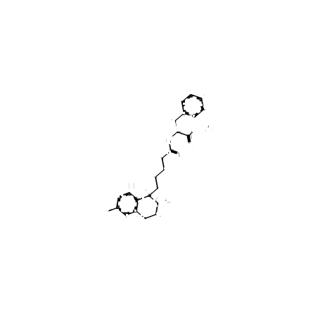 COC(=O)[C@H](Cc1ccccc1)NC(=O)CCCC[C@]1(C)c2ccc(C(C)C)cc2CC[C@H]1C